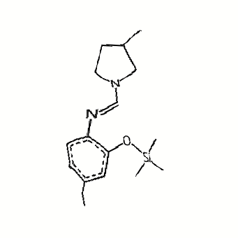 Cc1ccc(N=CN2CCC(C)C2)c(O[Si](C)(C)C)c1